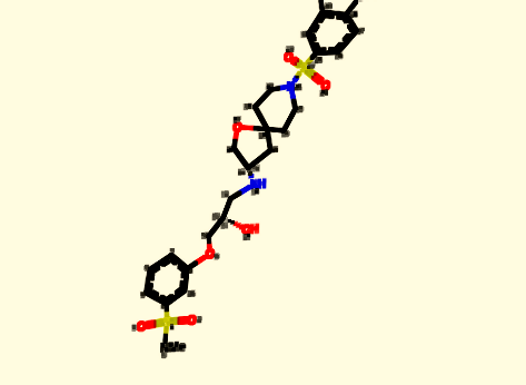 CNS(=O)(=O)c1cccc(OC[C@@H](O)CN[C@@H]2COC3(CCN(S(=O)(=O)c4ccc(OC)c(C)c4)CC3)C2)c1